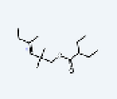 CC/C(C)=C/C(C)(C)COC(=O)C(CC)CC